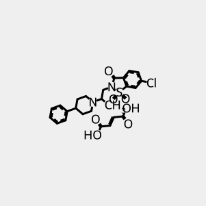 CC(CN1C(=O)c2ccc(Cl)cc2S1(=O)=O)N1CCC(c2ccccc2)CC1.O=C(O)C=CC(=O)O